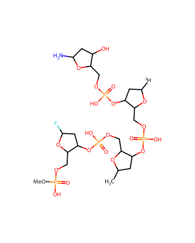 [2H]C1CC(OP(=O)(O)OCC2OC(N)CC2O)C(COP(=O)(O)OC2CC(C)OC2COP(=O)(O)OC2CC(F)OC2COP(=O)(O)OC)O1